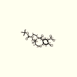 CC(C)(C)OC(=O)N1CCN2C(=O)c3cc([N+](=O)[O-])c(Cl)cc3OCC[C@@H]2C1